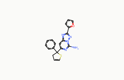 Nc1nc(C2(c3ccccc3)CC=CS2)cc2nc(-c3ccco3)nn12